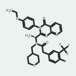 CCOc1ccc(-n2c([C@H](C)N(CC3CCSCC3)C(=O)Cc3ccc(F)c(C(F)(F)F)c3)nc3ncccc3c2=O)cc1